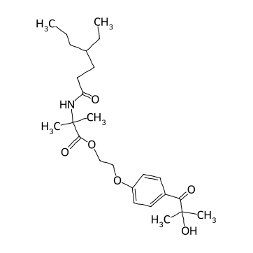 CCCC(CC)CCC(=O)NC(C)(C)C(=O)OCCOc1ccc(C(=O)C(C)(C)O)cc1